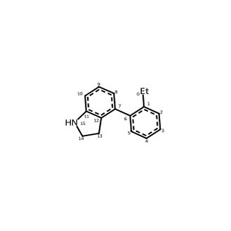 CCc1ccccc1-c1cccc2c1CCN2